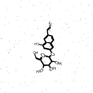 CC(=O)/C=C/c1ccc2cc(OC3OC(CO)C(O)C(O)C3O)cc(O)c2c1